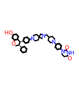 O=C1CCN(c2ccc(N3CCC(CN4CC5(CCN(c6ccc([C@@H]7c8ccc(O)cc8OC[C@@H]7c7ccccc7)cc6)CC5)C4)CC3)cc2)C(=O)N1